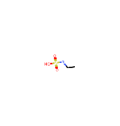 CC[N]S(=O)(=O)O